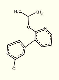 CC(C)Oc1ncccc1-c1cccc(Cl)c1